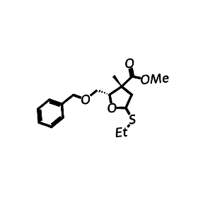 CCSC1C[C@@](C)(C(=O)OC)[C@@H](COCc2ccccc2)O1